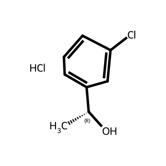 C[C@@H](O)c1cccc(Cl)c1.Cl